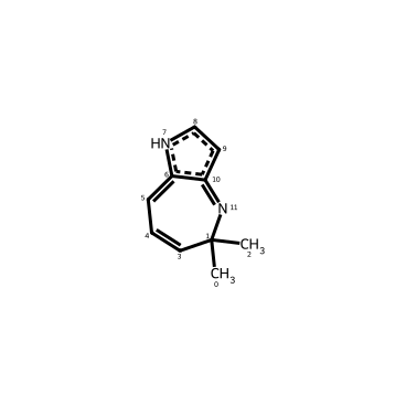 CC1(C)C=CC=c2[nH]ccc2=N1